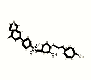 Cc1cc(-c2ccc(S(=O)(=O)/C=C3\CC[C@@H](CCCC4=CC=C(C(F)(F)F)C=C=C4)[C@@H](O)C3)cc2)cc2cnccc12